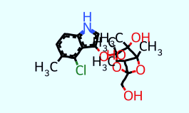 Cc1ccc2[nH]cc(OC3(C)OC4(CO)OC(C)(C3(C)O)C4(C)O)c2c1Cl